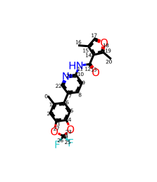 Cc1cc2c(cc1-c1ccc(NC(=O)c3c(C)coc3C)nc1)OC(F)(F)O2